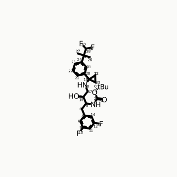 CC(C)(C)OC(=O)NC(Cc1cc(F)cc(F)c1)C(O)CNC1(c2cccc(C(C)(C)C(F)F)c2)CC1